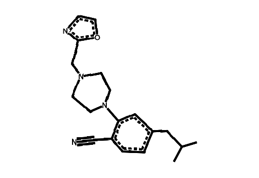 CC(C)Cc1ccc(C#N)c(N2CCN(Cc3ncco3)CC2)c1